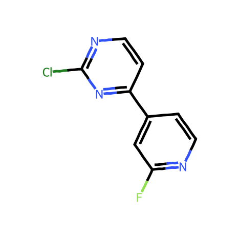 Fc1cc(-c2ccnc(Cl)n2)ccn1